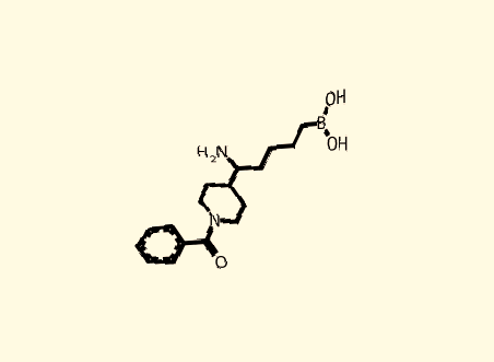 NC(CCCCB(O)O)C1CCN(C(=O)c2ccccc2)CC1